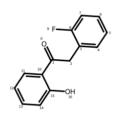 O=C(Cc1ccccc1F)c1ccccc1O